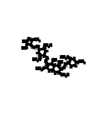 Cc1n[nH]c(O)c1/N=N/c1cc(S(=O)(=O)O)c(/N=N/c2c(S(=O)(=O)O)cc3cc(S(=O)(=O)O)c(/N=N/c4ccc([N+](=O)[O-])cc4S(=O)(=O)O)c(O)c3c2O)cc1S(=O)(=O)O